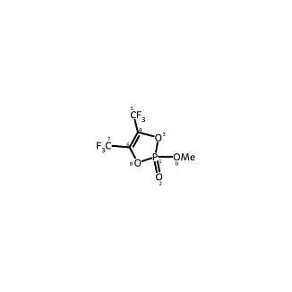 COP1(=O)OC(C(F)(F)F)=C(C(F)(F)F)O1